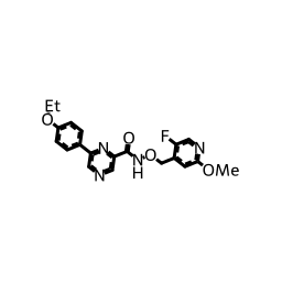 CCOc1ccc(-c2cncc(C(=O)NOCc3cc(OC)ncc3F)n2)cc1